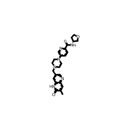 Cc1cc2ncc(CN3CCN(c4ccc(C(=O)N[C@@H]5CCOC5)nc4)CC3)cc2[nH]c1=O